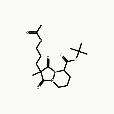 CC(=O)SCCCC1(C)C(=O)N2CCCC(C(=O)OC(C)(C)C)N2C1=O